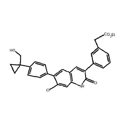 CCOC(=O)Cc1cccc(-c2cc3cc(-c4ccc(C5(CO)CC5)cc4)c(Cl)cc3[nH]c2=O)c1